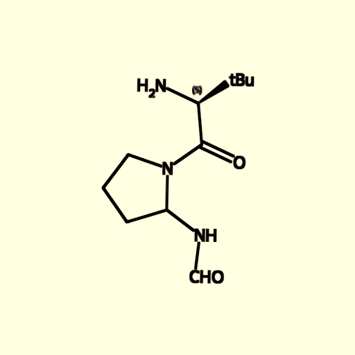 CC(C)(C)[C@H](N)C(=O)N1CCCC1NC=O